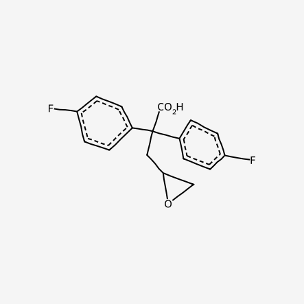 O=C(O)C(CC1CO1)(c1ccc(F)cc1)c1ccc(F)cc1